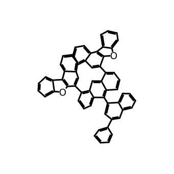 c1ccc(-c2cc(-c3c4cccc(-c5cc6ccccc6c6c5oc5ccccc56)c4cc4c(-c5cc6ccccc6c6c5oc5ccccc56)cccc34)c3ccccc3c2)cc1